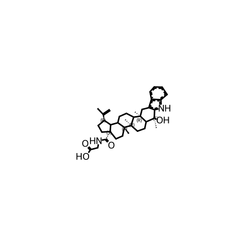 C=C(C)[C@@H]1CC[C@]2(C(=O)NCC(=O)O)CC[C@]3(C)C(CCC4[C@@]5(C)Cc6c([nH]c7ccccc67)[C@@](C)(O)C5CC[C@]43C)C12